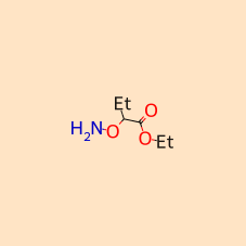 CCOC(=O)C(CC)ON